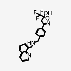 OC1(C(F)(F)F)CC(c2ccc(CNCc3cccc4cccnc34)cc2)=NO1